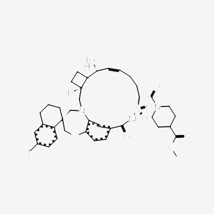 COC(=O)C1CCN(C(=O)[C@H]2CC/C=C\[C@H](O)[C@@H]3CC[C@H]3CN3C[C@@]4(CCCc5cc(Cl)ccc54)COc4ccc(cc43)C(=O)NS2(=O)=O)CC1